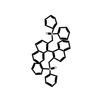 O=P(Cc1ccc2ccccc2c1-c1c(CP(=O)(c2ccccc2)c2ccccc2)ccc2ccccc12)(c1ccccc1)c1ccccc1